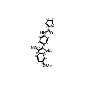 CCn1c(-c2ccc(NC(=O)c3ccco3)cc2)c(C#N)c2ccc(OC)cc21